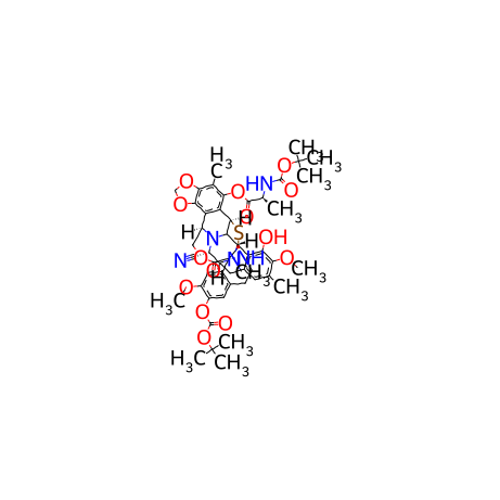 COc1cc2c(cc1OC(=O)OC(C)(C)C)CCN[C@]21CS[C@@H]2c3c(OC(=O)[C@H](C)NC(=O)OC(C)(C)C)c(C)c4c(c3[C@H](COC1=O)N1C2[C@@H]2c3c(cc(C)c(OC)c3O)C[C@H]([C@@H]1C#N)N2C)OCO4